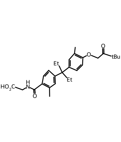 CCC(CC)(c1ccc(OCC(=O)C(C)(C)C)c(C)c1)c1ccc(C(=O)NCC(=O)O)c(C)c1